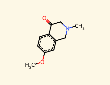 COc1ccc2c(c1)CN(C)CC2=O